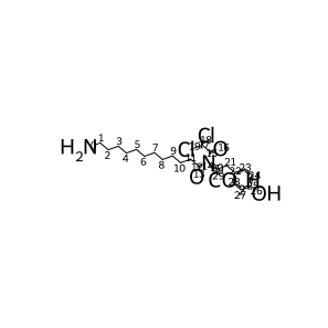 NCCCCCCCCCCCC(=O)N(C(=O)C(Cl)Cl)[C@@H](Cc1ccc(O)cc1)C(=O)O